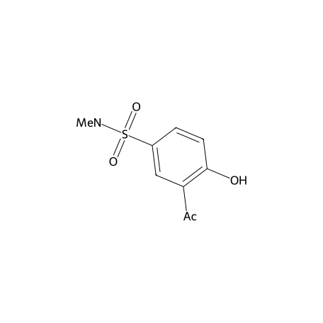 CNS(=O)(=O)c1ccc(O)c(C(C)=O)c1